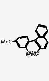 COc1ccc(-c2c(OC)ccc3ccccc23)c(OC)c1